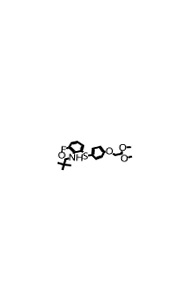 COC(COc1ccc(Sc2cccc(F)c2NC(=O)C(C)(C)C)cc1)OC